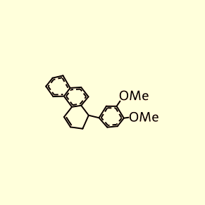 COc1ccc(C2CC=Cc3c2ccc2ccccc32)cc1OC